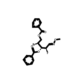 CON=C[C@@H](F)[C@H](OC(=O)c1ccccc1)[C@@H](Br)COC(=O)c1ccccc1